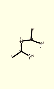 CC(S)[N]C(C)S